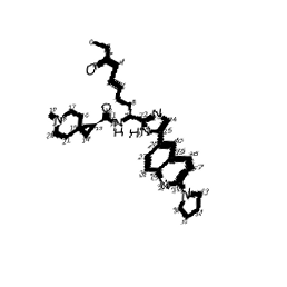 CCC(=O)CCCCC[C@H](NC(=O)[C@H]1CC12CCN(C)CC2)c1ncc(-c2ccc3nc(N4CCCC4)ccc3c2)[nH]1